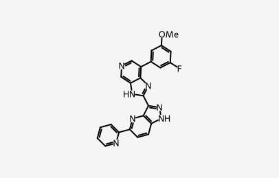 COc1cc(F)cc(-c2cncc3[nH]c(-c4n[nH]c5ccc(-c6ccccn6)nc45)nc23)c1